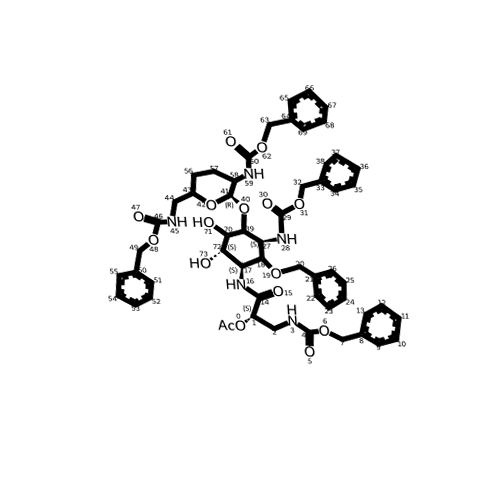 CC(=O)O[C@@H](CNC(=O)OCc1ccccc1)C(=O)N[C@@H]1C(OCc2ccccc2)[C@H](NC(=O)OCc2ccccc2)C(O[C@H]2OC(CNC(=O)OCc3ccccc3)CCC2NC(=O)OCc2ccccc2)C(O)[C@H]1O